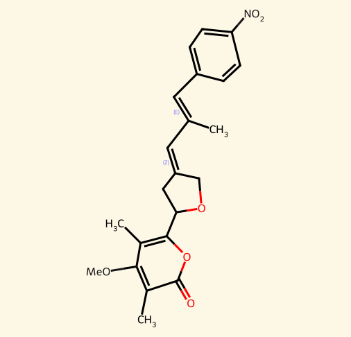 COc1c(C)c(C2C/C(=C/C(C)=C/c3ccc([N+](=O)[O-])cc3)CO2)oc(=O)c1C